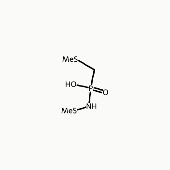 CSCP(=O)(O)NSC